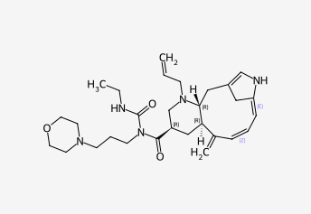 C=CCN1C[C@H](C(=O)N(CCCN2CCOCC2)C(=O)NCC)C[C@@H]2C(=C)/C=C\C=C3/CC(=CN3)C[C@H]21